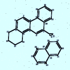 FC(F)(F)c1cc2c3c(ccc2c2ccccc12)CCCC3.c1ccc2nccnc2c1